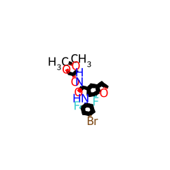 CC1(C)OCC(ONC(=O)c2cc3ccoc3c(F)c2Nc2ccc(Br)cc2F)CO1